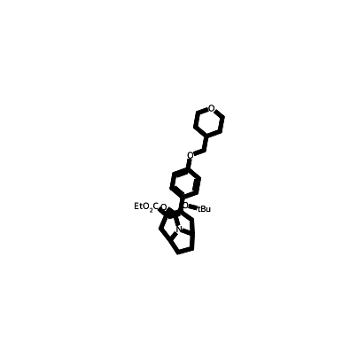 CCOC(=O)C1=C(c2ccc(OCC3CCOCC3)cc2)CC2CCC(C1)N2C(=O)OC(C)(C)C